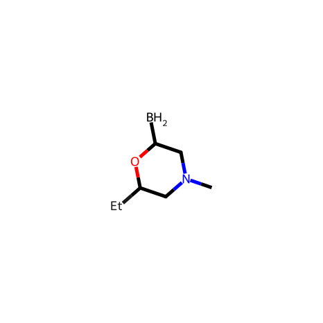 BC1CN(C)CC(CC)O1